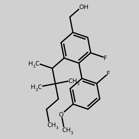 CCCC(C)(C)C(C)c1cc(CO)cc(F)c1-c1cc(OC)ccc1F